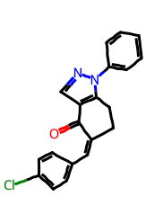 O=C1C(=Cc2ccc(Cl)cc2)CCc2c1cnn2-c1ccccc1